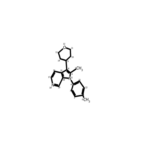 Cc1ccc(-n2c(C)c(C3CCOCC3)c3ccncc32)cc1